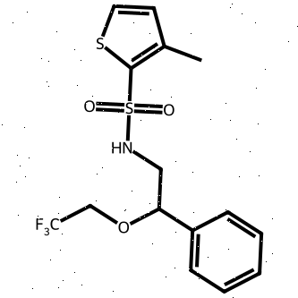 Cc1ccsc1S(=O)(=O)NCC(OCC(F)(F)F)c1ccccc1